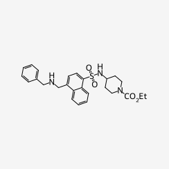 CCOC(=O)N1CCC(NS(=O)(=O)c2ccc(CNCc3ccccc3)c3ccccc23)CC1